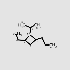 C=CCC1CC(CC)N1C(C)C